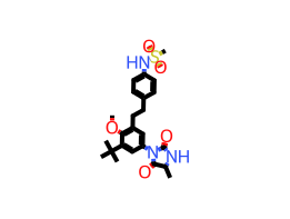 COc1c(CCc2ccc(NS(C)(=O)=O)cc2)cc(N2C(=O)NC(C)C2=O)cc1C(C)(C)C